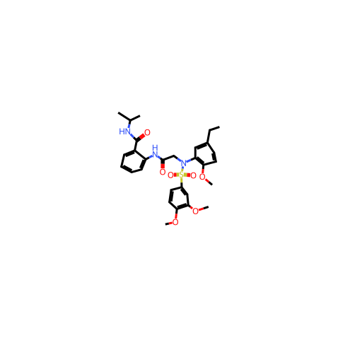 CCc1ccc(OC)c(N(CC(=O)Nc2ccccc2C(=O)NC(C)C)S(=O)(=O)c2ccc(OC)c(OC)c2)c1